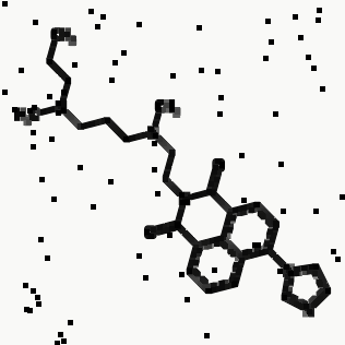 CCCN(C)CCCN(C)CCN1C(=O)c2cccc3c(-n4ccnc4)ccc(c23)C1=O